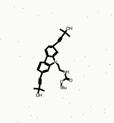 CC(C)(O)C#Cc1ccc2c3ccc(C#CC(C)(C)O)cc3n(CCNC(=O)OC(C)(C)C)c2c1